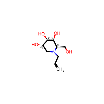 C=CCN1C[C@H](O)[C@@H](O)[C@@H](O)[C@H]1CO